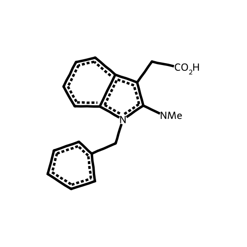 CNc1c(CC(=O)O)c2ccccc2n1Cc1ccccc1